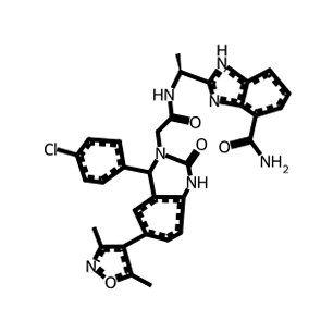 Cc1noc(C)c1-c1ccc2c(c1)C(c1ccc(Cl)cc1)N(CC(=O)N[C@@H](C)c1nc3c(C(N)=O)cccc3[nH]1)C(=O)N2